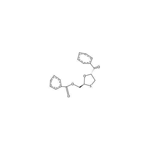 O=C(OC[C@H]1O[C@H](C(=O)c2ccccc2)CS1)c1ccccc1